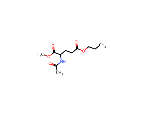 CCCOC(=O)CCC(NC(C)=O)C(=O)OC